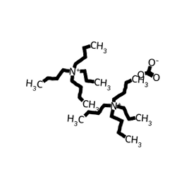 CCCC[N+](CCC)(CCCC)CCCC.CCCC[N+](CCC)(CCCC)CCCC.O=C([O-])[O-]